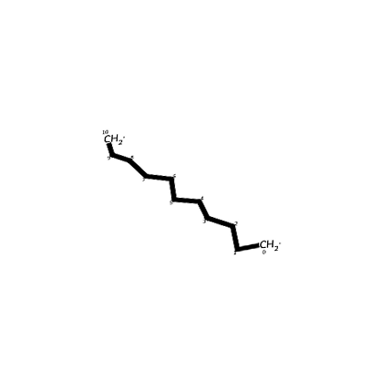 [CH2]CC[CH]CCCCCC[CH2]